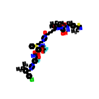 Cc1ncsc1-c1ccc([C@H](C)NC(=O)[C@@H]2C[C@@H](O)CN2C(=O)[C@@H](NC(=O)CCCCCC(=O)N2CCN(CC[C@H](CSc3ccccc3)Nc3ccc(S(=O)(=O)NC(=O)c4ccc(N5CCN(CC6=C(c7ccc(Cl)cc7)CCC(C)(C)C6)CC5)cc4F)cc3S(=O)(=O)C(F)(F)F)CC2)C(C)(C)C)cc1